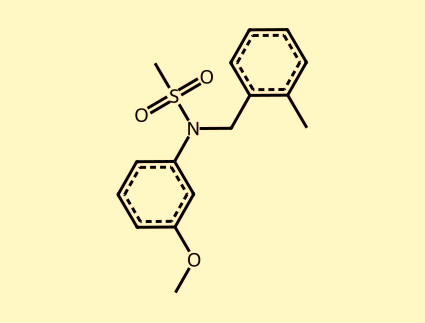 COc1cccc(N(Cc2ccccc2C)S(C)(=O)=O)c1